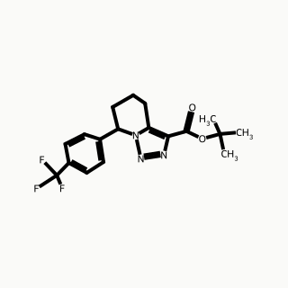 CC(C)(C)OC(=O)c1nnn2c1CCCC2c1ccc(C(F)(F)F)cc1